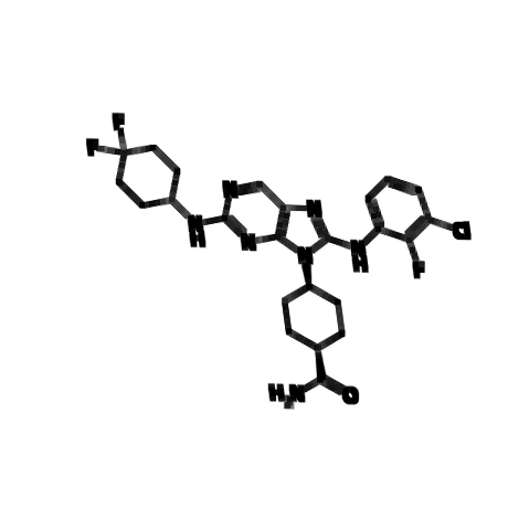 NC(=O)[C@H]1CC[C@@H](n2c(Nc3cccc(Cl)c3F)nc3cnc(NC4CCC(F)(F)CC4)nc32)CC1